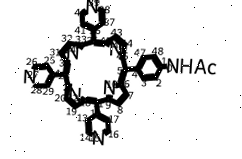 CC(=O)Nc1ccc(C2=C3C=CC(=N3)C(c3ccncc3)=C3C=CC(=N3)C(c3ccncc3)=C3C=CC(=N3)C(c3ccncc3)=C3C=CC2=N3)cc1